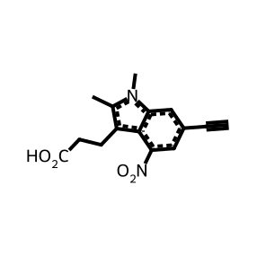 C#Cc1cc([N+](=O)[O-])c2c(CCC(=O)O)c(C)n(C)c2c1